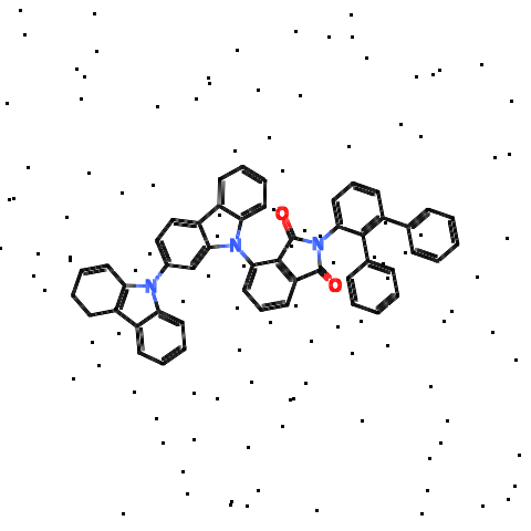 O=C1c2cccc(-n3c4ccccc4c4ccc(-n5c6c(c7ccccc75)CCC=C6)cc43)c2C(=O)N1c1cccc(-c2ccccc2)c1-c1ccccc1